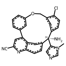 Cn1cncc1[C@]1(N)c2ccc(Cl)c(c2)COc2cccc(c2)-c2cc(C#N)nc3ccc1cc23